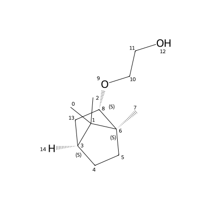 CC1(C)[C@H]2CC[C@]1(C)[C@@H](OCCO)C2